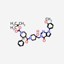 COc1cccc(-n2ccc3c(=O)n(CC4(O)CCN(C(=O)[C@@H]5CCN(C(=O)OC(C)(C)C)C[C@H]5c5ccccc5)CC4)cnc32)c1